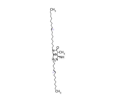 CCCCCCCC/C=C/CCCCCCCCN(CCCCCCCC/C=C/CCCCCCCC)C(=O)C(C)NC(=N)N